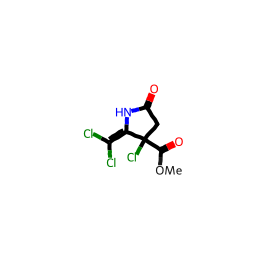 COC(=O)C1(Cl)CC(=O)NC1=C(Cl)Cl